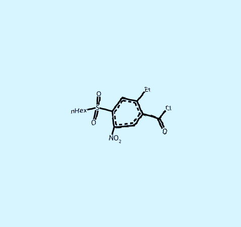 CCCCCCS(=O)(=O)c1cc(CC)c(C(=O)Cl)cc1[N+](=O)[O-]